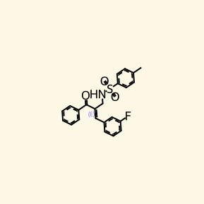 Cc1ccc(S(=O)(=O)NC/C(=C\c2cccc(F)c2)C(=O)c2ccccc2)cc1